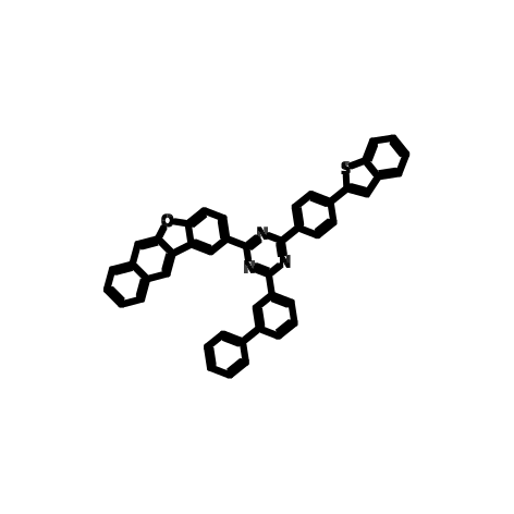 c1ccc(-c2cccc(-c3nc(-c4ccc(-c5cc6ccccc6s5)cc4)nc(-c4ccc5oc6cc7ccccc7cc6c5c4)n3)c2)cc1